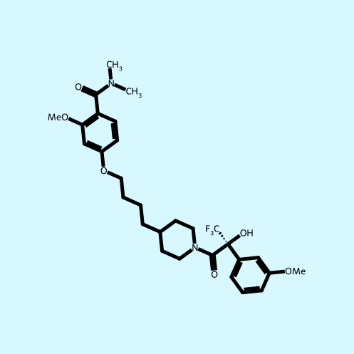 COc1cccc([C@](O)(C(=O)N2CCC(CCCCOc3ccc(C(=O)N(C)C)c(OC)c3)CC2)C(F)(F)F)c1